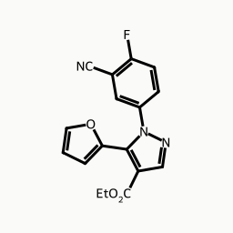 CCOC(=O)c1cnn(-c2ccc(F)c(C#N)c2)c1-c1ccco1